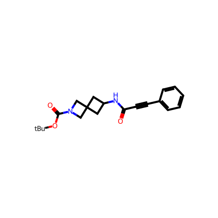 CC(C)(C)OC(=O)N1CC2(CC(NC(=O)C#Cc3ccccc3)C2)C1